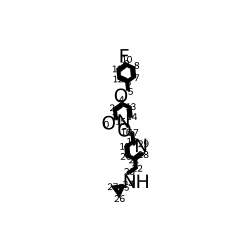 O=c1cc(OCc2ccc(F)cc2)ccn1OCc1ccc(CCNC2CC2)cn1